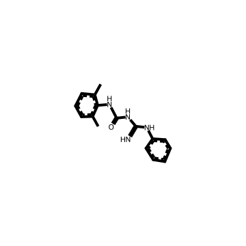 Cc1cccc(C)c1NC(=O)NC(=N)Nc1ccccc1